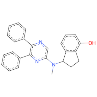 CN(c1cnc(-c2ccccc2)c(-c2ccccc2)n1)C1CCc2c(O)cccc21